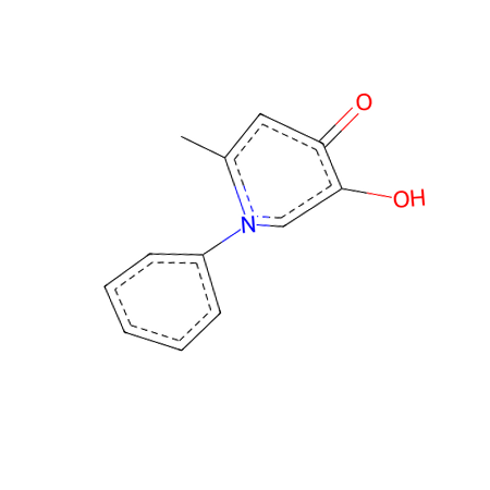 Cc1cc(=O)c(O)cn1-c1ccccc1